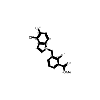 COC(=O)c1cccc(Cn2ccc3c(Cl)c(Cl)ccc32)c1F